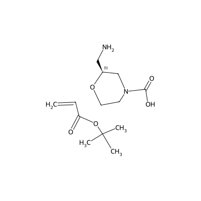 C=CC(=O)OC(C)(C)C.NC[C@H]1CN(C(=O)O)CCO1